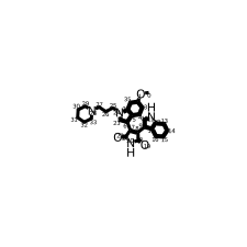 COc1ccc2c(C3=C(c4c[nH]c5ccccc45)C(=O)NC3=O)cn(CCCN3CCCCC3)c2c1